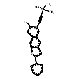 C[Si](C)(C)C#Cc1cc2cc3cc(-c4ccccc4)sc3cc2cc1Br